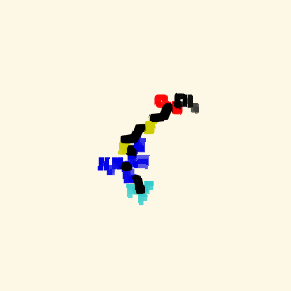 COC(=O)CCSCc1csc(N/C(N)=N\CC(F)(F)F)n1